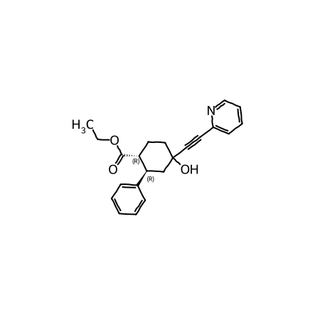 CCOC(=O)[C@@H]1CCC(O)(C#Cc2ccccn2)C[C@H]1c1ccccc1